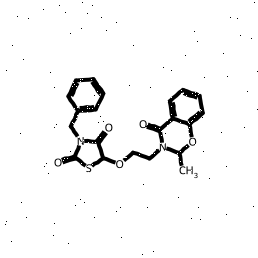 CC1Oc2ccccc2C(=O)N1CCOC1SC(=O)N(Cc2ccccc2)C1=O